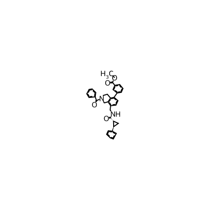 COC(=O)c1cccc(-c2ccc(CNC(=O)[C@@H]3C[C@H]3c3ccccc3)c3c2CCN(C(=O)c2ccccc2)C3)c1